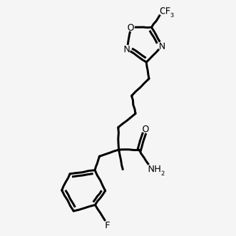 CC(CCCCc1noc(C(F)(F)F)n1)(Cc1cccc(F)c1)C(N)=O